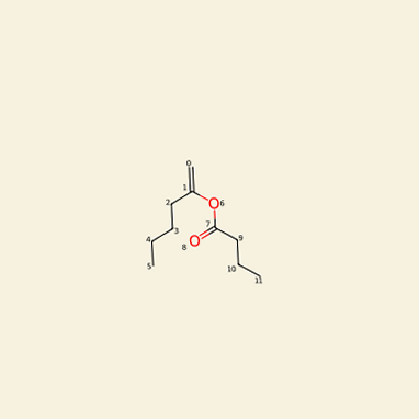 C=C(CCCC)OC(=O)CCC